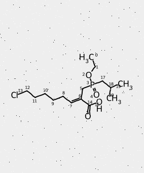 CCOP(=O)(C/C(=C\CCCCCCl)C(=O)O)CC(C)C